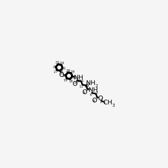 CCOC(=O)CCNC(=O)[C@H](N)CCC(=O)Nc1ccc(Oc2ccccc2)cc1